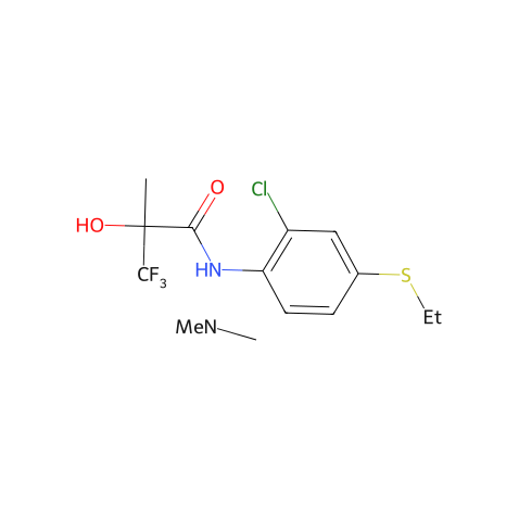 CCSc1ccc(NC(=O)C(C)(O)C(F)(F)F)c(Cl)c1.CNC